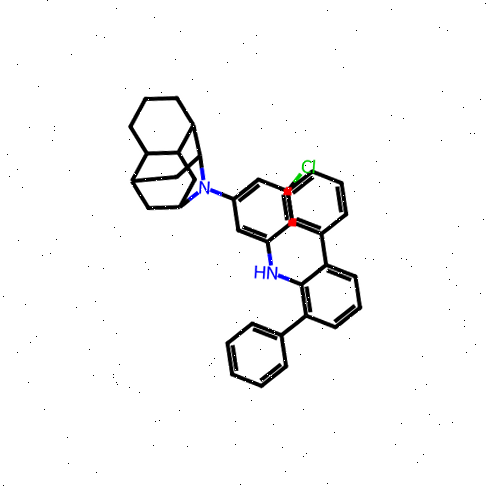 Clc1cc(Nc2c(-c3ccccc3)cccc2-c2ccccc2)cc(N2C3CC4CC2C2CCCC4C2C3)c1